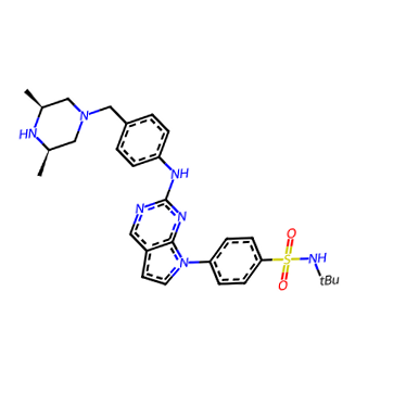 C[C@@H]1CN(Cc2ccc(Nc3ncc4ccn(-c5ccc(S(=O)(=O)NC(C)(C)C)cc5)c4n3)cc2)C[C@H](C)N1